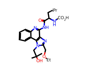 CCOCc1nc2c(NC(=O)C(CC(C)C)NC(=O)O)nc3ccccc3c2n1CC(C)(C)O